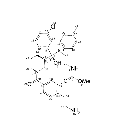 COC(=O)NCCC[C@@](O)(c1cccc(Cl)c1-c1cccc(C)c1)[C@@H]1CCCN(C(=O)c2ccc(CCN)cc2)C1